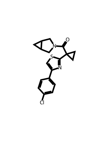 O=C(N1CC2CC2C1)C1(c2nc(-c3ccc(Cl)cc3)cs2)CC1